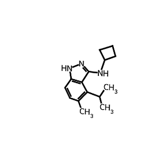 Cc1ccc2[nH]nc(NC3CCC3)c2c1C(C)C